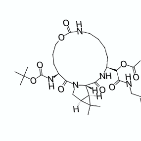 C=CCNC(=O)C(OC(C)=O)[C@@H]1CCCCNC(=O)OCCC[C@H](NC(=O)OC(C)(C)C)C(=O)N2C[C@H]3[C@@H]([C@H]2C(=O)N1)C3(C)C